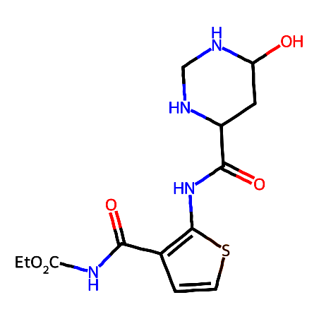 CCOC(=O)NC(=O)c1ccsc1NC(=O)C1CC(O)NCN1